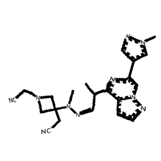 CC(/C=N\N(C)C1(CC#N)CN(CC#N)C1)c1nc(-c2cnn(C)c2)cn2nccc12